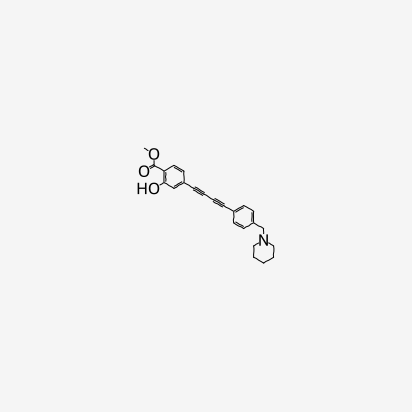 COC(=O)c1ccc(C#CC#Cc2ccc(CN3CCCCC3)cc2)cc1O